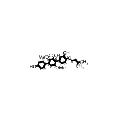 COc1cc(-c2ccc(O)cc2)c(OC)c(C(=O)O)c1-c1ccc(OCC=C(C)C)c(O)c1